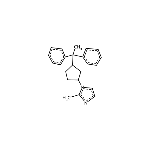 Cc1nccn1C1CCC(C(C)(c2ccccc2)c2ccccc2)C1